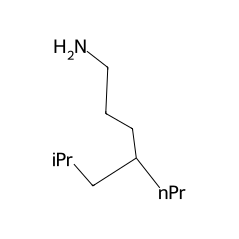 CCCC(CCCN)CC(C)C